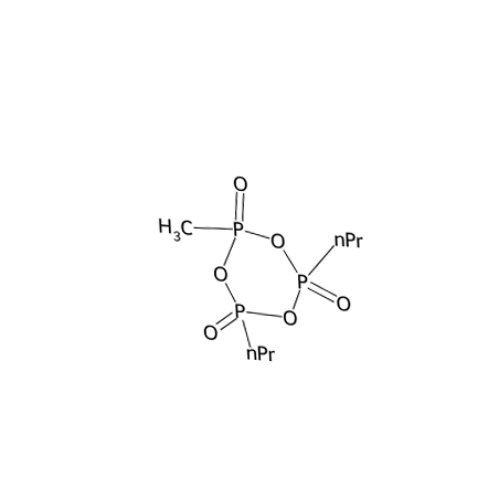 CCCP1(=O)OP(C)(=O)OP(=O)(CCC)O1